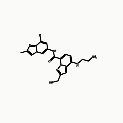 Cc1cn2cc(NC(=O)c3ccc(NCCN)c4cc(CO)nn34)cc(F)c2n1